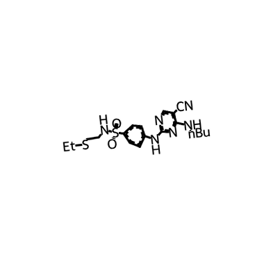 CCCCNc1nc(Nc2ccc(S(=O)(=O)NCCSCC)cc2)ncc1C#N